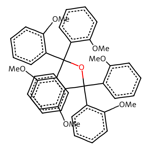 COc1ccccc1C(OC(c1ccccc1OC)(c1ccccc1OC)c1ccccc1OC)(c1ccccc1OC)c1ccccc1OC